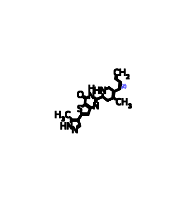 C=C/C=C\C1=C(C)CC(c2nc3cc(-c4cn[nH]c4C)sc3c(=O)[nH]2)NC1